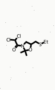 CCSCC1CN(C(=O)C(Cl)Cl)C(C)(C)O1